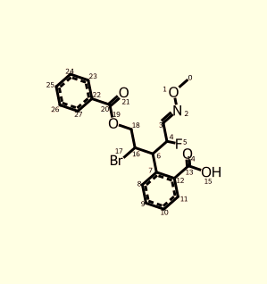 CO/N=C/C(F)C(c1ccccc1C(=O)O)C(Br)COC(=O)c1ccccc1